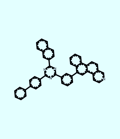 c1ccc(-c2ccc(-c3nc(-c4cccc(-c5cc6c7ccncc7ccc6c6ccccc56)c4)nc(-c4ccc5ccccc5c4)n3)cc2)cc1